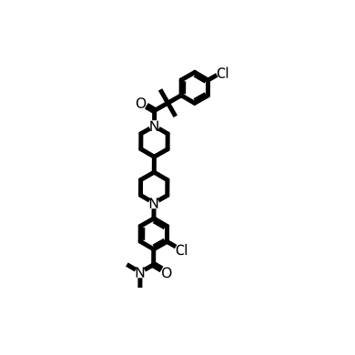 CN(C)C(=O)c1ccc(N2CCC(C3CCN(C(=O)C(C)(C)c4ccc(Cl)cc4)CC3)CC2)cc1Cl